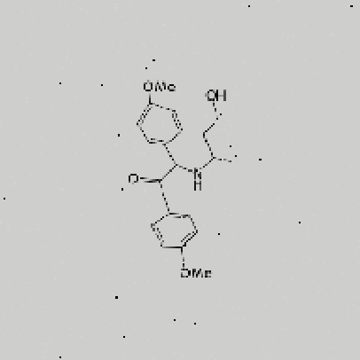 COc1ccc(C(=O)C(NC(C)CCO)c2ccc(OC)cc2)cc1